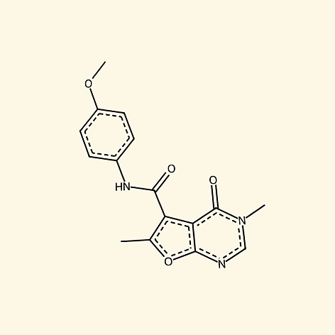 COc1ccc(NC(=O)c2c(C)oc3ncn(C)c(=O)c23)cc1